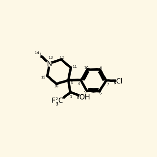 OC(C(F)(F)F)C1(c2ccc(Cl)cc2)CCN(I)CC1